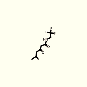 CC(C)CC(=O)CC(=O)NCC(F)(F)F